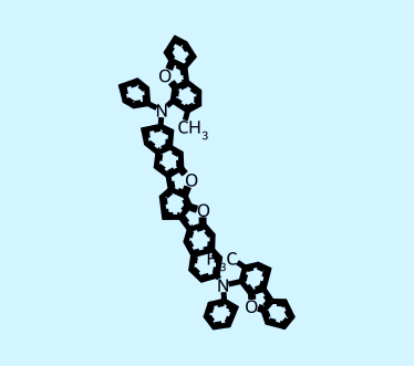 Cc1ccc2c(oc3ccccc32)c1N(c1ccccc1)c1ccc2cc3c(cc2c1)oc1c3ccc2c3cc4ccc(N(c5ccccc5)c5c(C)ccc6c5oc5ccccc56)cc4cc3oc21